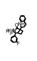 NC(=O)C1(C2CCc3ccccc3N2)CCC1C(N)c1cccc(F)c1